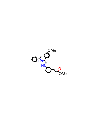 COC(=O)CCC1CCCC(NCC(NC(C)c2ccccc2)c2ccc(OC)cc2)C1